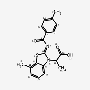 Cc1ccc(C(=O)/N=c2\sc3c(C)cccc3n2C(C)C(=O)O)cc1